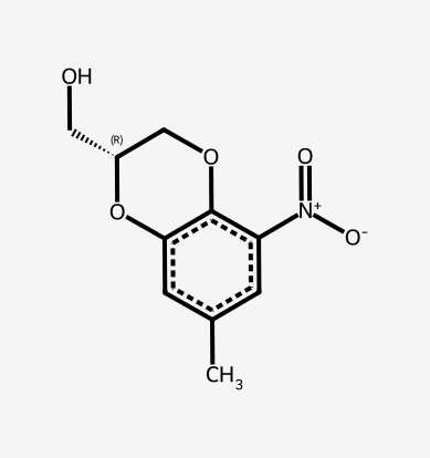 Cc1cc2c(c([N+](=O)[O-])c1)OC[C@@H](CO)O2